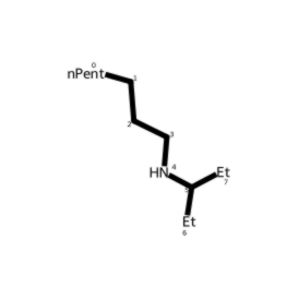 CCCCCCCCNC(CC)CC